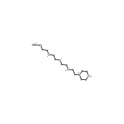 CCCCOCCOCCOCCOCCN1CCOCC1